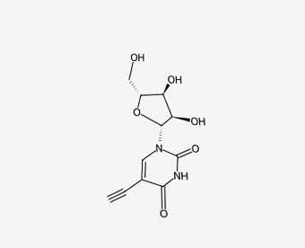 C#Cc1cn([C@@H]2O[C@H](CO)[C@@H](O)[C@H]2O)c(=O)[nH]c1=O